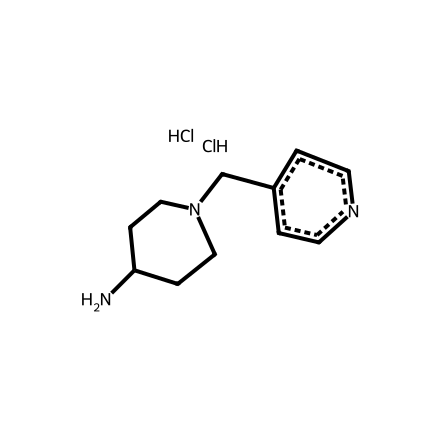 Cl.Cl.NC1CCN(Cc2ccncc2)CC1